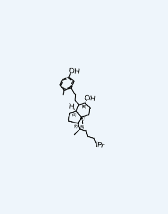 Cc1ccc(O)cc1CCC1[C@H](O)CC[C@]2(C)[C@@H]([C@H](C)CCCC(C)C)CC[C@@H]12